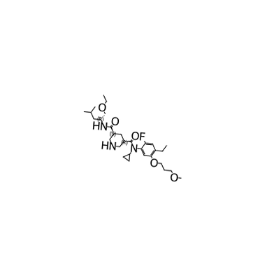 CCOC[C@@H](CC(C)C)NC(=O)[C@@H]1CNC[C@H](C(=O)N(c2cc(OCCCOC)c(CC)cc2F)C2CC2)C1